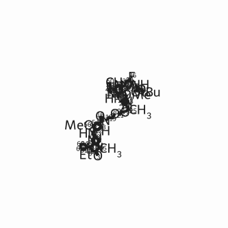 CC[C@@H]1C(=O)N(C)c2cnc(Nc3ccc(C(=O)NCCOCCOC(C)n4cc(Nc5nc(N6C[C@@H](F)[C@H](NC(=O)OC(C)(C)C)C6)nc6c5ncn6C)c(OC)n4)cc3OC)nc2N1C1CCCC1